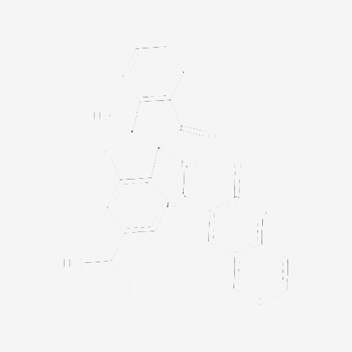 CC(C)c1ccc2c(c1)OC1(O)C3=C(CCC=C3)C(=O)C21NC(=O)c1cc2ccccc2oc1=O